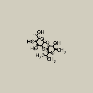 CC(C)C1CC(OC2OC(CO)C(O)C(O)C2O)C(O)C(C)O1